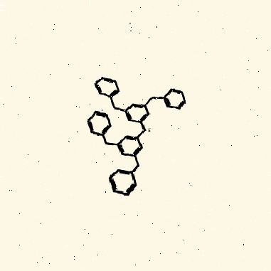 [C](c1cc(Cc2ccccc2)cc(Cc2ccccc2)c1)c1cc(Cc2ccccc2)cc(Cc2ccccc2)c1